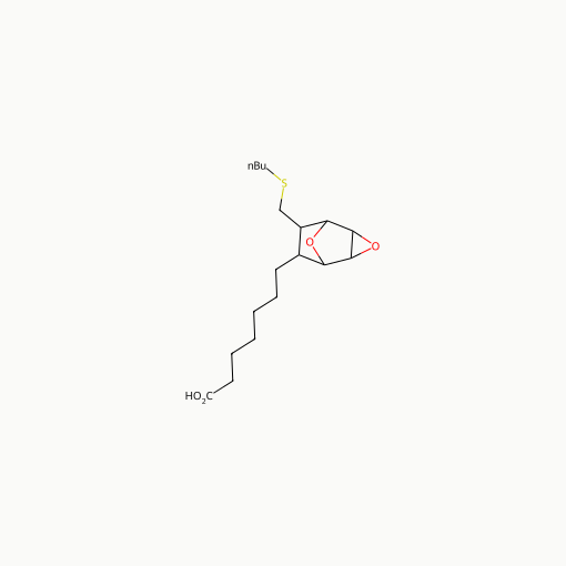 CCCCSCC1C(CCCCCCC(=O)O)C2OC1C1OC21